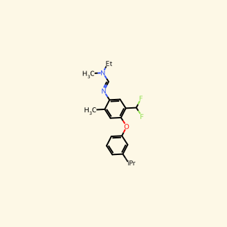 CCN(C)C=Nc1cc(C(F)F)c(Oc2cccc(C(C)C)c2)cc1C